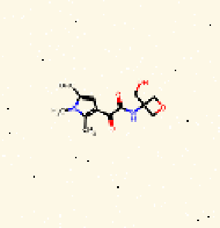 Cc1c(C(=O)C(=O)NC2(CO)COC2)cc(C=O)n1C